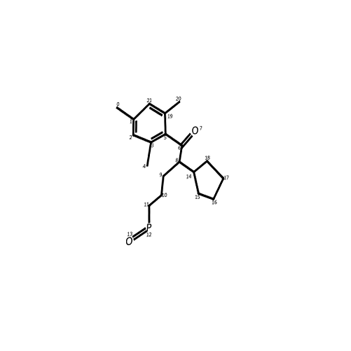 Cc1cc(C)c(C(=O)C(CCCP=O)C2CCCC2)c(C)c1